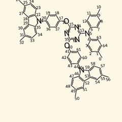 Cc1ccc(N(c2ccc(C)cc2)c2nc(Oc3ccc(-n4c5ccc(C)cc5c5cc(C)ccc54)cc3)nc(Oc3ccc(-n4c5ccc(C)cc5c5cc(C)ccc54)cc3)n2)cc1